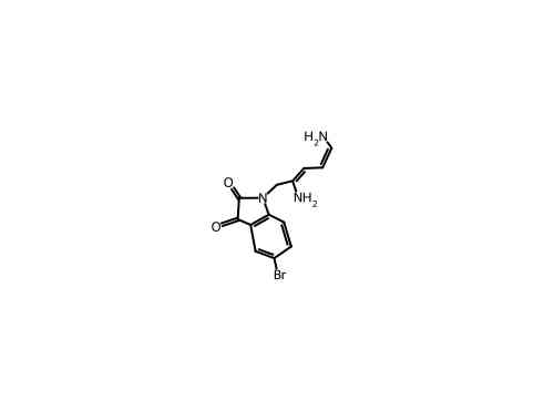 N/C=C\C=C(/N)CN1C(=O)C(=O)c2cc(Br)ccc21